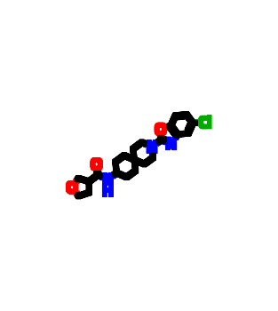 O=C(NC1CCC2(CC1)CCN(c1nc3cc(Cl)ccc3o1)CC2)C1CCOC1